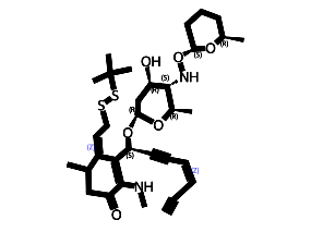 C#C/C=C\C#C[C@H](O[C@H]1C[C@@H](O)[C@H](NO[C@H]2CCC[C@@H](C)O2)[C@@H](C)O1)C1=C(NC)C(=O)CC(C)/C1=C/CSSC(C)(C)C